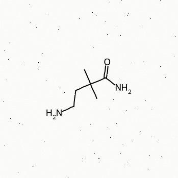 CC(C)(CCN)C(N)=O